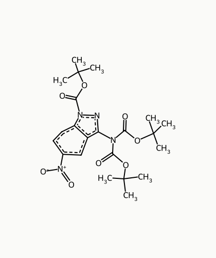 CC(C)(C)OC(=O)N(C(=O)OC(C)(C)C)c1nn(C(=O)OC(C)(C)C)c2ccc([N+](=O)[O-])cc12